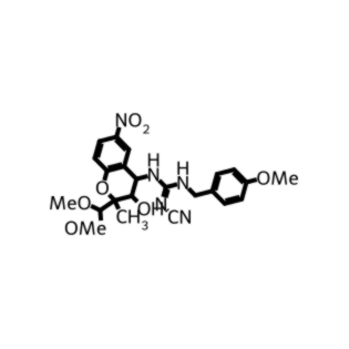 COc1ccc(CNC(=NC#N)NC2c3cc([N+](=O)[O-])ccc3OC(C)(C(OC)OC)C2O)cc1